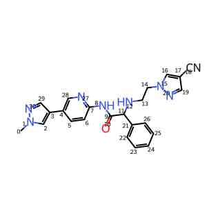 Cn1cc(-c2ccc(NC(=O)C(NCCn3cc(C#N)cn3)c3ccccc3)nc2)cn1